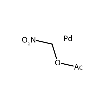 CC(=O)OC[N+](=O)[O-].[Pd]